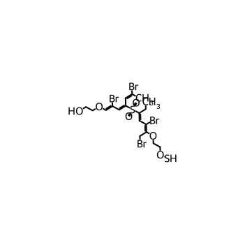 CC/C(=C\C(Br)=C(/CBr)OCCOS)S(=O)(=O)C(/C=C(\C)Br)=C/C(Br)=C/OCCO